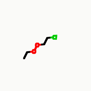 CCOOCCCl